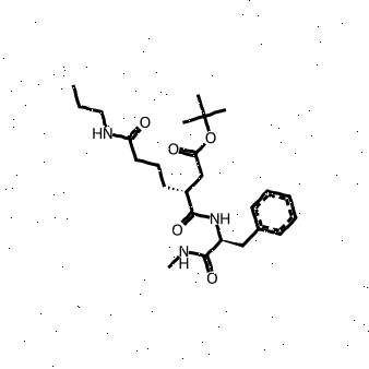 CCCNC(=O)CCC[C@H](CC(=O)OC(C)(C)C)C(=O)N[C@@H](Cc1ccccc1)C(=O)NC